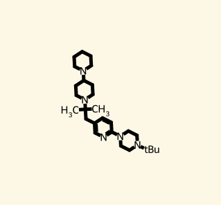 CC(C)(C)N1CCN(c2ccc(CC(C)(C)N3CCC(N4CCCCC4)CC3)cn2)CC1